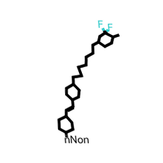 CCCCCCCCCC1CCC(C=CC2CCC(CCCCCCCC3CCC(C)C(F)(F)C3)CC2)CC1